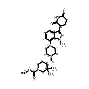 Cn1nc(C2CCC(=O)NC2=O)c2cccc(N3CCN(C[C@H]4CCN(C(=O)OC(C)(C)C)CC4(C)C)CC3)c21